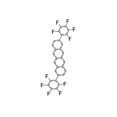 Fc1c(F)c(F)c(-c2ccc3cc4cc5cc(-c6c(F)c(F)c(F)c(F)c6F)ccc5cc4cc3c2)c(F)c1F